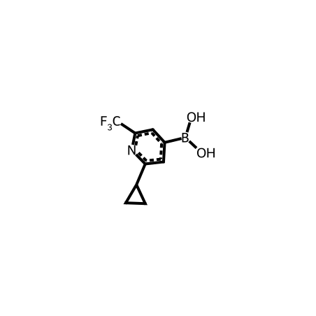 OB(O)c1cc(C2CC2)nc(C(F)(F)F)c1